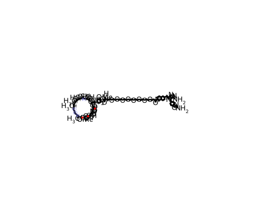 CO[C@H]1C[C@@H]2CCC[C@@](O)(O2)C(=O)C(=O)N2CCCC[C@H]2C(=O)O[C@H]([C@H](N)C[C@@H]2CC[C@@H](OC(=O)NCCOCCOCCOCCOCCOCCOCCOCCOCCC(=O)N3CCc4cc(Cn5nc(-c6ccc7oc(N)nc7c6)c6c(N)ncnc65)ccc4C3)[C@H](OC)C2)CC(=O)[C@H](C)/C=C(\C)[C@@H](O)[C@@H](O)C(=O)[C@H](C)C[C@H](C)/C=C/C=C/C=C/1C